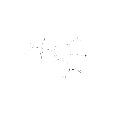 CN(C)S(=O)(=O)c1cc(N)c(O)c([N+](=O)[O-])c1